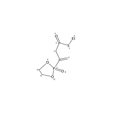 C=C(CC(=O)SCC)P1(=O)OCCO1